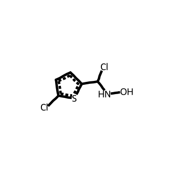 ONC(Cl)c1ccc(Cl)s1